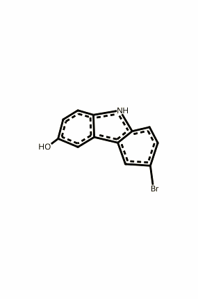 Oc1ccc2[nH]c3ccc(Br)cc3c2c1